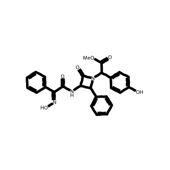 COC(=O)C(c1ccc(O)cc1)N1C(=O)C(NC(=O)C(=NO)c2ccccc2)C1c1ccccc1